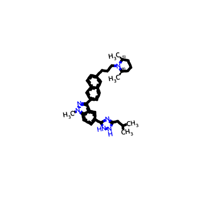 CC(C)CC1=NC(c2ccc3c(c2)c(-c2ccc4cc(CCCN5[C@H](C)CCC[C@@H]5C)ccc4c2)nn3C)NN1